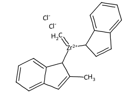 [CH2]=[Zr+2]([CH]1C=Cc2ccccc21)[CH]1C(C)=Cc2ccccc21.[Cl-].[Cl-]